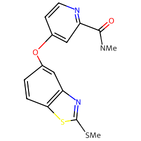 CNC(=O)c1cc(Oc2ccc3sc(SC)nc3c2)ccn1